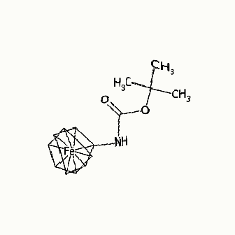 CC(C)(C)OC(=O)N[C]12[CH]3[CH]4[CH]5[CH]1[Fe]45321678[CH]2[CH]1[CH]6[CH]7[CH]28